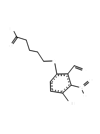 Cc1ccc(OCCCCC(=O)O)c(C=O)c1[N+](=O)[O-]